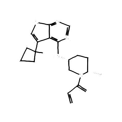 C=CC(=O)N1C[C@H](Nc2ncnc3[nH]cc(C4(O)CCC4)c23)CC[C@@H]1C